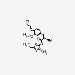 CCc1nn(C)c(=NC(=O)C(C#N)=Cc2ccc(OCCCl)c(OC)c2)s1